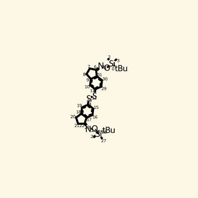 CC(C)(C)[Si](C)(C)O/N=C1/CCc2cc(SSc3ccc4c(c3)CC/C4=N/O[Si](C)(C)C(C)(C)C)ccc21